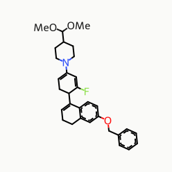 COC(OC)C1CCN(C2=CCC(C3=CCCc4cc(OCc5ccccc5)ccc43)C(F)=C2)CC1